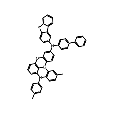 Cc1ccc(N2c3ccc(C)cc3B3c4ccc(N(c5ccc(-c6ccccc6)cc5)c5ccc6sc7ccccc7c6c5)cc4Oc4cccc2c43)cc1